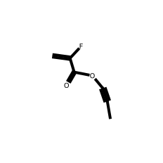 C=C(F)C(=O)OC#CC